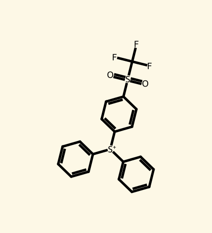 O=S(=O)(c1ccc([S+](c2ccccc2)c2ccccc2)cc1)C(F)(F)F